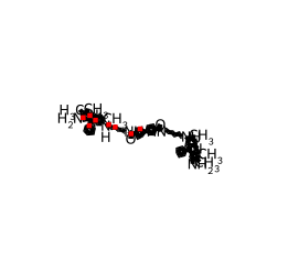 CC1=CC2=Nc3c(cc(N)c(C)c3C)N(c3ccccc3)C2C=C1NCCCCCCNC(=O)c1ccc(-c2ccc(C(=O)NCCCCCCNc3cc4c(cc3C)nc3c(C)c(C)c(N)cc3[n+]4-c3ccccc3)cc2)cc1